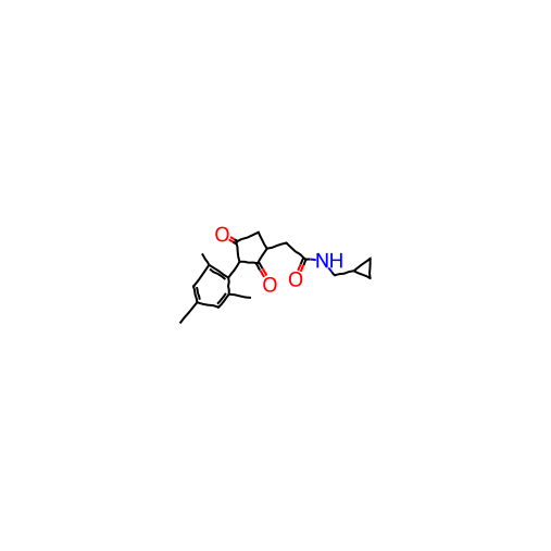 Cc1cc(C)c(C2C(=O)CC(CC(=O)NCC3CC3)C2=O)c(C)c1